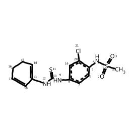 CS(=O)(=O)Nc1ccc(NC(=S)NC2=CC[CH]C=C2)cc1Cl